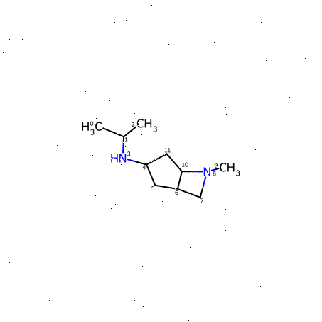 CC(C)NC1CC2CN(C)C2C1